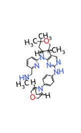 CNCc1cccc(N2c3nc(Nc4ccc(N5[C@@H]6COC[C@H]5C6)cc4)ncc3[C@@]3(C)COC(C)(C)C[C@@H]23)n1